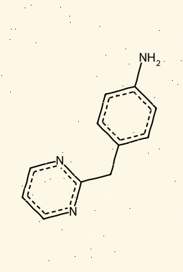 Nc1ccc(Cc2ncccn2)cc1